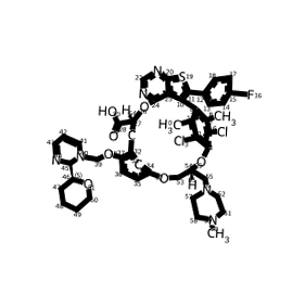 Cc1c(Cl)c2c(Cl)c(C)c1-c1c(-c3ccc(F)cc3)sc3ncnc(c13)O[C@@H](C(=O)O)Cc1cc(ccc1OCN1C=CC=NC1[C@@H]1CCCCO1)OC[C@@H](CN1CCN(C)CC1)O2